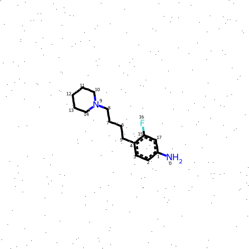 Nc1ccc(CCCCN2CCCCC2)c(F)c1